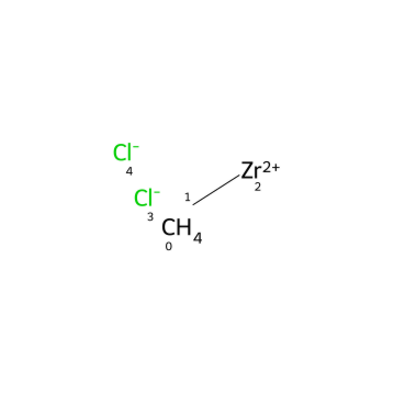 C.[CH3][Zr+2].[Cl-].[Cl-]